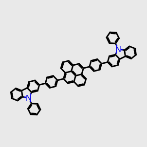 c1ccc(-n2c3ccccc3c3ccc(-c4ccc(-c5cc6cccc7c(-c8ccc(-c9ccc%10c%11ccccc%11n(-c%11ccccc%11)c%10c9)cc8)cc8cccc5c8c67)cc4)cc32)cc1